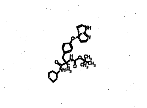 CC(C)(C)OC(=O)NC(C)(Cc1ccc(Oc2ccnc3[nH]ccc23)cc1)C(=O)NC1CCCCC1